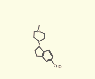 CN1CCN([C@@H]2CCc3cc(C=O)ccc32)CC1